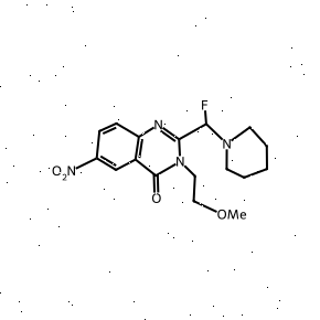 COCCn1c(C(F)N2CCCCC2)nc2ccc([N+](=O)[O-])cc2c1=O